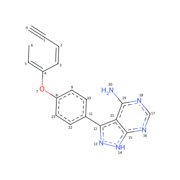 C#C/C=C\C(=C/C)Oc1ccc(-c2n[nH]c3ncnc(N)c23)cc1